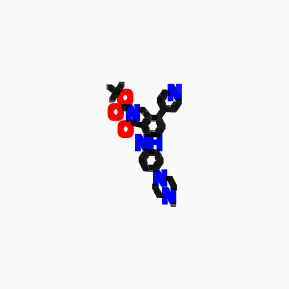 CN1CCN(c2ccc(Nc3ccc(-c4ccncc4)c4c3C(=O)N(C(=O)OC(C)(C)C)C4)cc2)CC1